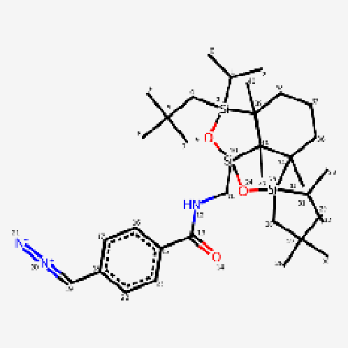 CC(C)[Si]1(CC(C)(C)C)O[Si]2(CNC(=O)c3ccc(C=[N+]=[N-])cc3)O[Si](CC(C)(C)C)(C(C)C)C3(C)CCCC1(C)C32C